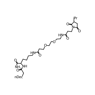 CCCCCCCCCCCC(=O)NC(CCCCNC(=O)CCOCCOCCNC(=O)CCN1C(=O)CC(C(C)C)C1=O)C(N)=O